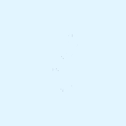 C/C(=N\C(=O)CC(=O)O)Nc1cc(Cl)ncc1C